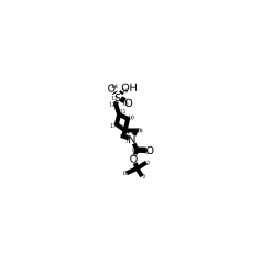 CC(C)(C)OC(=O)N1CC2(CC(CS(=O)(=O)O)C2)C1